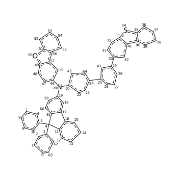 c1ccc(C2(c3ccccc3)c3ccccc3-c3cc(N(c4ccc(-c5cccc(-c6ccc7sc8ccccc8c7c6)c5)cc4)c4ccc5oc6ccccc6c5c4)ccc32)cc1